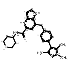 Cc1nn(C)c(C)c1-c1ccc(Cc2cc(C(=O)NC3CCOCC3)nc3ccsc23)cc1